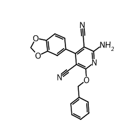 N#Cc1c(N)nc(OCc2ccccc2)c(C#N)c1-c1ccc2c(c1)OCO2